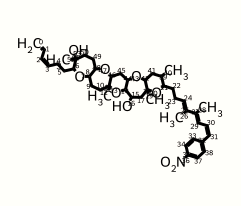 C=C/C=C\CCC1OC2CCC3(C)OC4C(O)CC5(C)OC(CC/C=C(C)/C(C)=C/C=C\c6ccc([N+](=O)[O-])cc6)C(C)CC5OC4CC3OC2CCC1(C)O